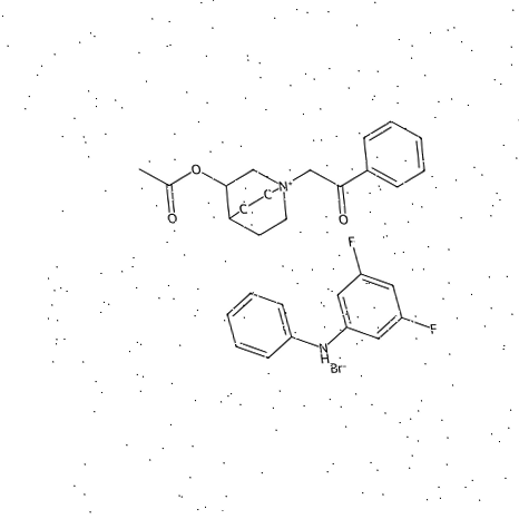 CC(=O)OC1C[N+]2(CC(=O)c3ccccc3)CCC1CC2.Fc1cc(F)cc(Nc2ccccc2)c1.[Br-]